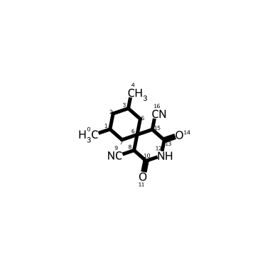 CC1CC(C)CC2(C1)C(C#N)C(=O)NC(=O)C2C#N